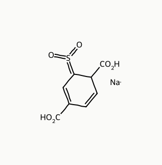 O=C(O)C1=CC(=S(=O)=O)C(C(=O)O)C=C1.[Na]